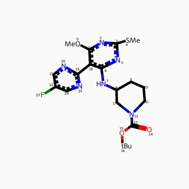 COc1nc(SC)nc(NC2CCCN(C(=O)OC(C)(C)C)C2)c1-c1ncc(F)cn1